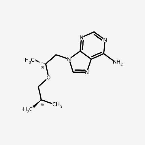 [CH2][C@H](C)CO[C@H](C)Cn1cnc2c(N)ncnc21